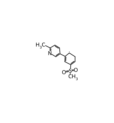 Cc1ccc(C2=CC(S(C)(=O)=O)=CC[CH]2)cn1